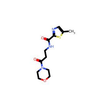 Cc1cnc(C(=O)NCCC(=O)N2CCOCC2)s1